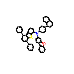 c1ccc(-c2ccc(-c3ccccc3)c3c2sc2c(N(c4ccc(-c5cccc6ccccc56)cc4)c4ccc5c(c4)oc4ccccc45)cccc23)cc1